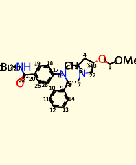 COCO[C@H]1CCN(C[C@H](c2ccccc2)N(C)c2ccc(C(=O)NC(C)(C)C)cc2)C1